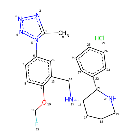 Cc1nnnn1-c1ccc(OCF)c(CN[C@H]2CCCN[C@H]2c2ccccc2)c1.Cl